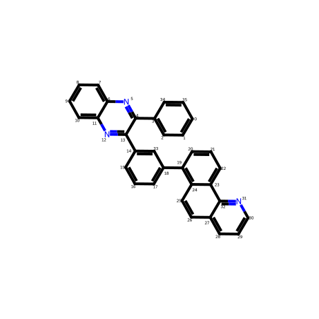 c1ccc(-c2nc3ccccc3nc2-c2cccc(-c3cccc4c3ccc3cccnc34)c2)cc1